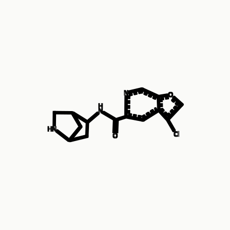 O=C(NC1CC2CC1CN2)c1cc2c(Cl)coc2cn1